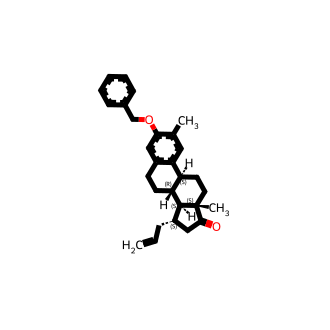 C=CC[C@H]1CC(=O)[C@@]2(C)CC[C@@H]3c4cc(C)c(OCc5ccccc5)cc4CC[C@H]3[C@H]12